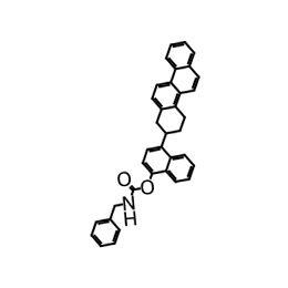 O=C(NCc1ccccc1)Oc1ccc(C2CCc3c(ccc4c3ccc3ccccc34)C2)c2ccccc12